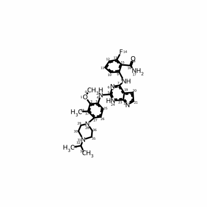 COc1c(Nc2nc(Nc3cccc(F)c3C(N)=O)c3ccnc-3[nH]2)ccc(N2CCN(C(C)C)CC2)c1C